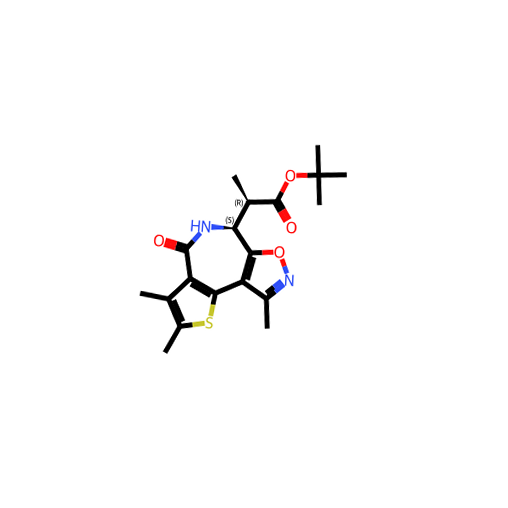 Cc1noc2c1-c1sc(C)c(C)c1C(=O)N[C@H]2[C@@H](C)C(=O)OC(C)(C)C